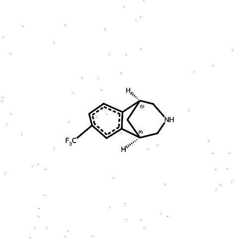 FC(F)(F)c1ccc2c(c1)[C@@H]1CNC[C@H]2C1